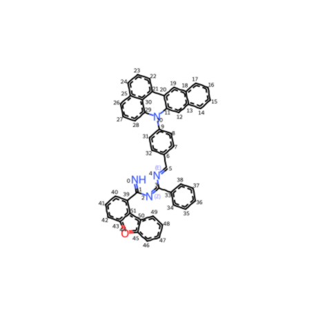 N=C(/N=C(\N=C\c1ccc(N2c3cc4ccccc4cc3-c3cccc4cccc2c34)cc1)c1ccccc1)c1cccc2oc3ccccc3c12